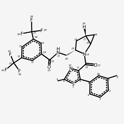 Cc1cccc(-c2sc(C)nc2C(=O)N2C3C[C@H]3C[C@H]2CNC(=O)c2cc(C(F)(F)F)cc(C(F)(F)F)c2)c1